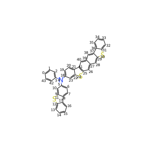 c1ccc(N(c2ccc3c(c2)sc2ccccc23)c2ccc3c(c2)sc2cc4cc5sc6ccccc6c5cc4cc23)cc1